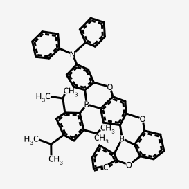 CC(C)c1cc(C(C)C)c(B2c3ccc(N(c4ccccc4)c4ccccc4)cc3Oc3cc4c(cc32)B2c3ccccc3Oc3cccc(c32)O4)c(C(C)C)c1